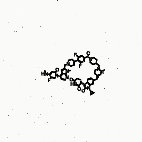 CNc1cc(=O)n(-c2ccnc3c2cc(CN2CC=C(c4c(F)cc(C(=O)N5CCC(CN6CCN(Cc7ccc8c(c7)n(C7CC7)c(=O)n8[C@H]7CCC(=O)NC7=O)C[C@@H]6C)CC5)cc4F)CC2)n3C)cc1F